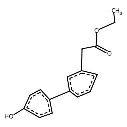 CCOC(=O)Cc1cccc(-c2ccc(O)cc2)c1